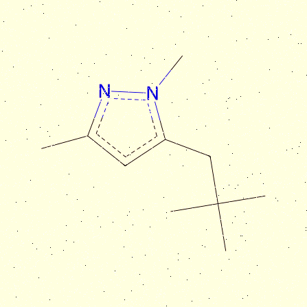 Cc1cc(CC(C)(C)C)n(C)n1